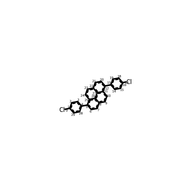 Clc1ccc(-c2ccc3ccc4c(-c5ccc(Cl)cc5)ccc5ccc2c3c54)cc1